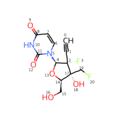 C#C[C@]1(F)[C@H](n2ccc(=O)[nH]c2=O)O[C@H](CO)[C@]1(O)CF